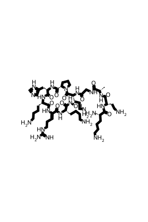 C[C@H](NC(=O)[C@H](CCN)NC(=O)[C@@H](N)CCCCN)C(=O)NCC(=O)N[C@H](CCCN)C(=O)N1CCC[C@H]1C(=O)N[C@@H](Cc1cnc[nH]1)C(=O)N[C@@H](CCCCN)C(=O)N/C(=C\CCNC(=N)N)C(=O)N[C@@H](CCCCN)C(=O)NO